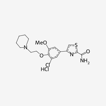 COc1cc(-c2csc(C(N)=O)n2)cc(Cl)c1OCCN1CCCCC1.Cl